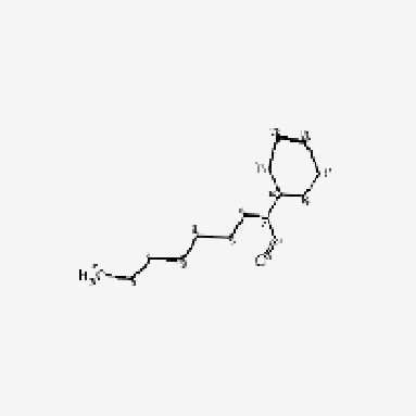 CCCCCCCC([C]=O)C1CCCCC1